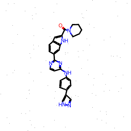 O=C(c1cc2ccc(-c3nccc(Nc4ccc(-c5cn[nH]c5)cc4)n3)cc2[nH]1)N1CCCCC1